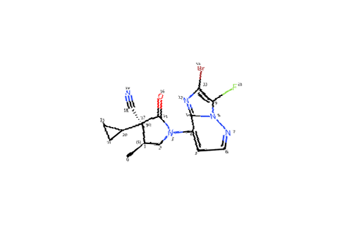 C[C@@H]1CN(c2ccnn3c(F)c(Br)nc23)C(=O)[C@]1(C#N)C1CC1